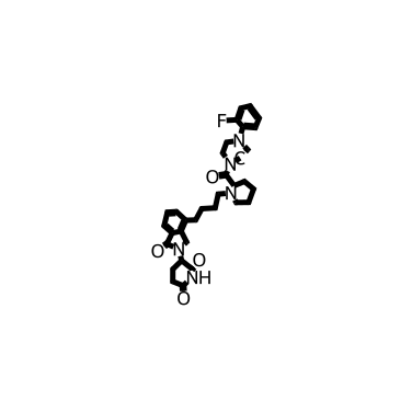 O=C1CCC(N2Cc3c(CCCCN4CCCCC4C(=O)N4CCN(c5ccccc5F)CC4)cccc3C2=O)C(=O)N1